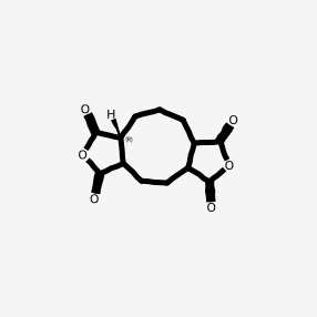 O=C1OC(=O)C2CCC3C(=O)OC(=O)[C@@H]3CCCC12